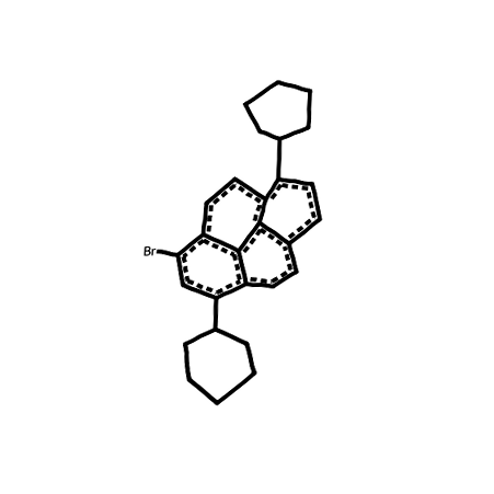 Brc1cc(C2CCCCC2)c2ccc3ccc(C4CCCCC4)c4ccc1c2c34